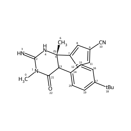 CN1C(=N)N[C@](C)(c2cc(C#N)cs2)C(c2ccc(C(C)(C)C)cc2)C1=O